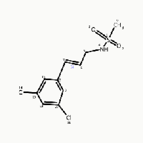 CS(=O)(=O)NC/C=C/c1cc(Cl)cc(Cl)c1